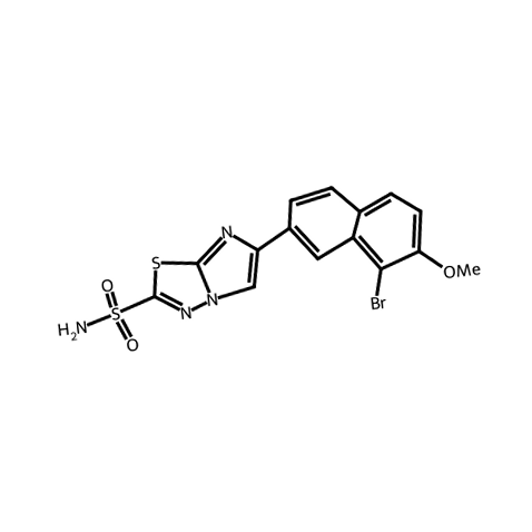 COc1ccc2ccc(-c3cn4nc(S(N)(=O)=O)sc4n3)cc2c1Br